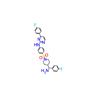 NC(c1ccc(F)cc1)C1CCN(S(=O)(=O)c2ccc(Nc3nccc(-c4ccc(F)cc4)n3)cc2)CC1